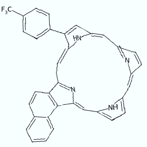 FC(F)(F)c1ccc(-c2cc3cc4nc(cc5ccc(cc6nc(cc2[nH]3)-c2ccc3ccccc3c2-6)[nH]5)C=C4)cc1